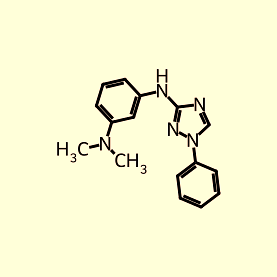 CN(C)c1cccc(Nc2ncn(-c3ccccc3)n2)c1